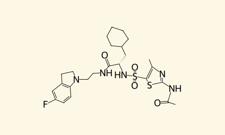 CC(=O)Nc1nc(C)c(S(=O)(=O)N[C@@H](CC2CCCCC2)C(=O)NCCN2CCc3cc(F)ccc32)s1